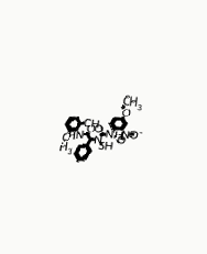 CCOc1ccc(NC(=O)N(S)C(C(=O)Nc2c(C)cccc2C)c2ccccc2)c([N+](=O)[O-])c1